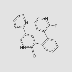 O=c1[nH]cc(-c2ncccn2)cc1-c1ccccc1-c1cccnc1F